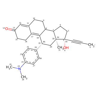 [CH2]C#C[C@]1(O)CCC2C3CCC4=CC(=O)CCC4=C3[C@@H](c3ccc(N(C)C)cc3)C[C@@]21C